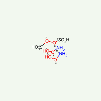 NOO.NOO.O=S(=O)(O)OOS(=O)(=O)O